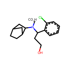 O=C(O)N(C(CCO)c1ccccc1Cl)C1CC2CCC1C2